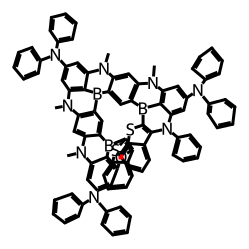 CN1c2cc3c(cc2B2c4sc5ccccc5c4Oc4cc(N(c5ccccc5)c5ccccc5)cc1c42)B1c2cc4c(cc2N(C)c2cc(N(c5ccccc5)c5ccccc5)cc(c21)N3C)N(C)c1cc(N(c2ccccc2)c2ccccc2)cc2c1B4c1sc3ccccc3c1N2c1ccccc1